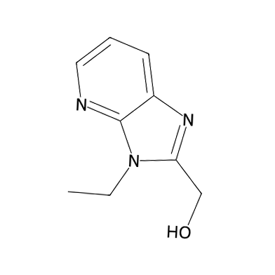 CCn1c(CO)nc2cccnc21